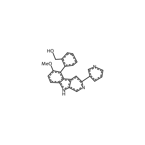 COc1ccc2[nH]c3cnc(-c4cccnc4)cc3c2c1-c1ccccc1CO